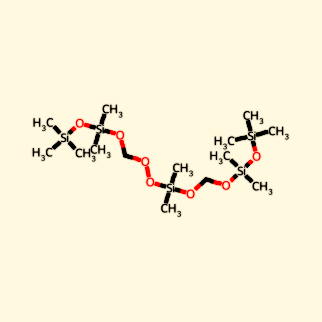 C[Si](C)(C)O[Si](C)(C)OCOO[Si](C)(C)OCO[Si](C)(C)O[Si](C)(C)C